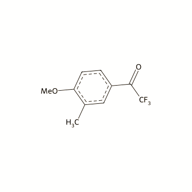 COc1ccc(C(=O)C(F)(F)F)cc1C